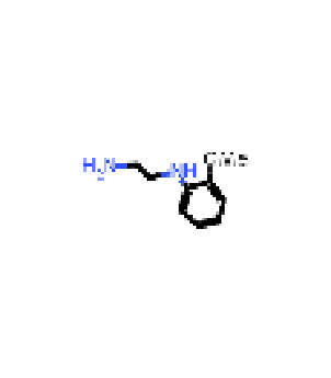 COc1ccccc1NCCN